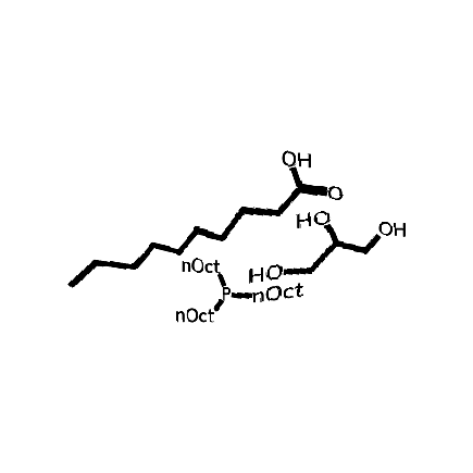 CCCCCCCCCC(=O)O.CCCCCCCCP(CCCCCCCC)CCCCCCCC.OCC(O)CO